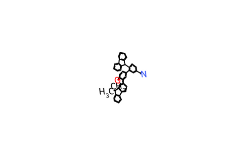 CC1(C)c2ccccc2-c2ccc3c(oc4ccc(-c5cc(C#N)ccc5C5c6ccccc6-c6ccccc65)cc43)c21